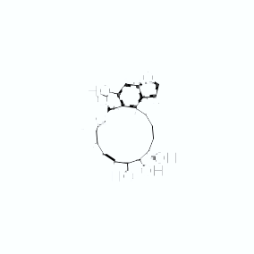 C[C@H]1C/C=C\C(O)C(O)[C@@H](O)CCCc2c(c(O)cc3occc23)C(=O)O1